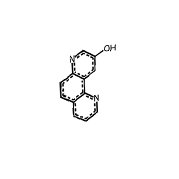 Oc1cnc2ccc3cccnc3c2c1